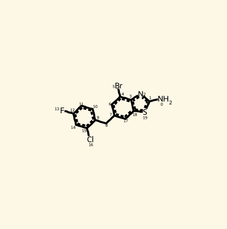 Nc1nc2c(Br)cc(Cc3ccc(F)cc3Cl)cc2s1